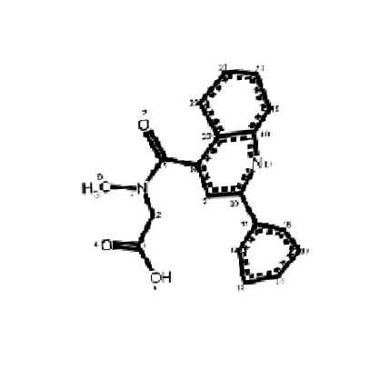 CN(CC(=O)O)C(=O)c1cc(-c2ccccc2)nc2ccccc12